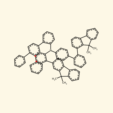 CC1(C)c2ccccc2-c2ccc(-c3ccccc3N(c3ccc(-c4ccccc4-c4cccc5c4C(C)(C)c4ccccc4-5)cc3)c3ccccc3-c3ccc(-c4ccccc4)c(-c4ccccc4)c3)cc21